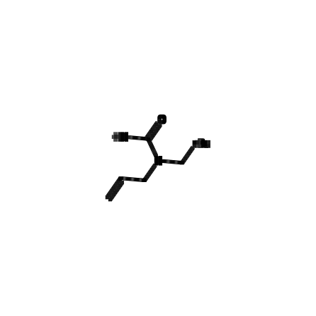 C=CCN(CCCCC)C([NH])=O